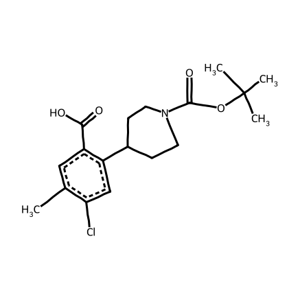 Cc1cc(C(=O)O)c(C2CCN(C(=O)OC(C)(C)C)CC2)cc1Cl